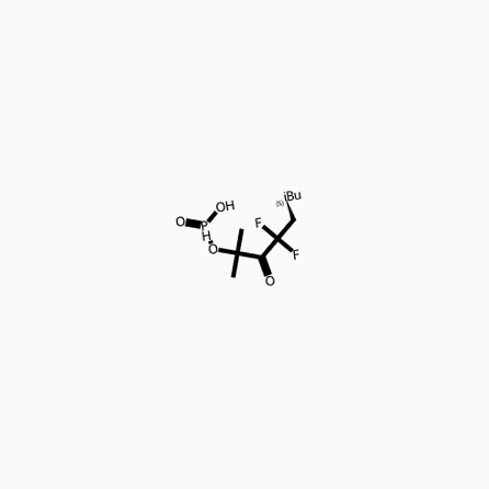 CC[C@H](C)CC(F)(F)C(=O)C(C)(C)O[PH](=O)O